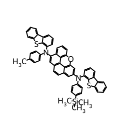 Cc1ccc(N(c2cc3ccc4cc(N(c5ccc([Si](C)(C)C)cc5)c5cccc6c5sc5ccccc56)cc5c4c3c3c(cccc23)O5)c2cccc3c2sc2ccccc23)cc1